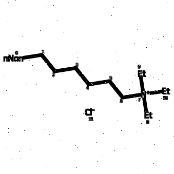 CCCCCCCCCCCCCCC[N+](CC)(CC)CC.[Cl-]